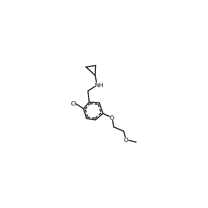 COCCOc1ccc(Cl)c(CNC2CC2)c1